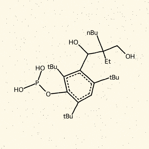 CCCCC(CC)(CO)C(O)c1c(C(C)(C)C)cc(C(C)(C)C)c(OP(O)O)c1C(C)(C)C